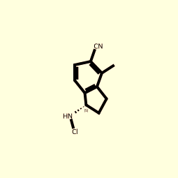 Cc1c(C#N)ccc2c1CC[C@@H]2NCl